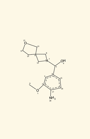 COc1cc(C(O)N2CC3(CCOC3)C2)ccc1N